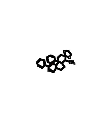 CC1C2CCc3cnc(-c4ccccc4)nc3C2(c2ccccc2)CCC12OCCO2